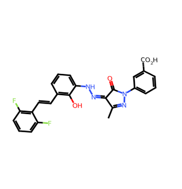 CC1=NN(c2cccc(C(=O)O)c2)C(=O)/C1=N\Nc1cccc(/C=C/c2c(F)cccc2F)c1O